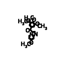 COc1ccn2c(C(=O)c3cc(OC)c(OC)c(OC)c3)cnc2c1